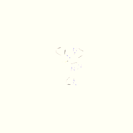 S=c1c2c(ncn2Cc2cccnc2)c2cccnc2n1-c1ccccc1